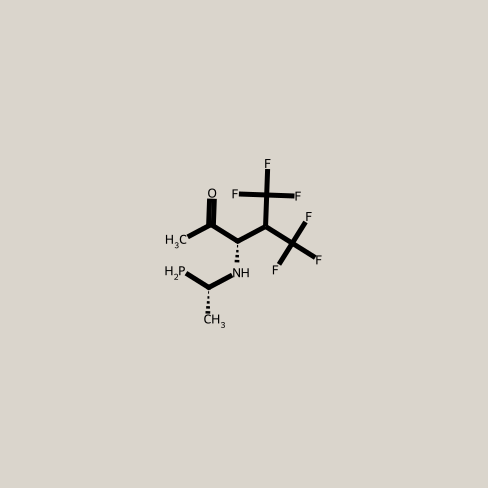 CC(=O)[C@@H](N[C@H](C)P)C(C(F)(F)F)C(F)(F)F